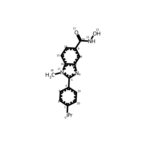 CC(C)c1ccc(-c2nc3cc(C(=O)NO)ccc3n2C)cc1